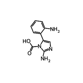 Nc1ccccc1-c1cnc(N)n1C(=O)O